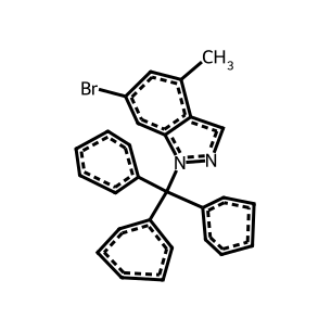 Cc1cc(Br)cc2c1cnn2C(c1ccccc1)(c1ccccc1)c1ccccc1